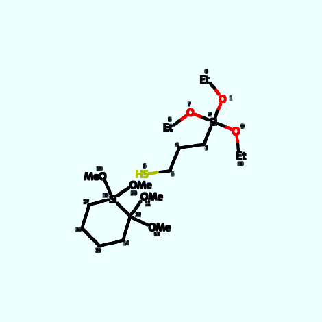 CCO[Si](CCCS)(OCC)OCC.COC1(OC)CCCC[Si]1(OC)OC